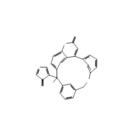 C=C1C=NC=C1C1(O)c2cccc(c2)COc2cccc(c2)-c2cc(=O)[nH]c3ccc1cc23